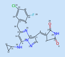 O=C1C/C(=C\c2cnn3c(NC4CC4)cc(Cc4cc(F)cc(Cl)c4)nc23)C(=O)N1